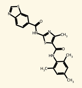 Cc1cc(C)c(NC(=O)c2sc(NC(=O)c3ccc4ncsc4c3)nc2C)c(C)c1